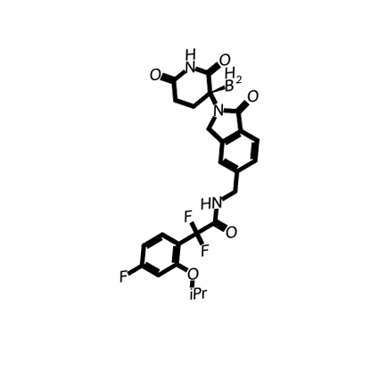 B[C@@]1(N2Cc3cc(CNC(=O)C(F)(F)c4ccc(F)cc4OC(C)C)ccc3C2=O)CCC(=O)NC1=O